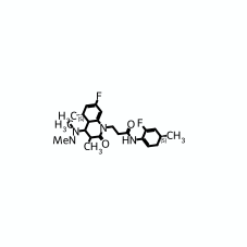 CNN(C)C1C(C)C(=O)N(CCC(=O)NC2=CC[C@H](C)C=C2F)C2=CC(F)=C[C@@H](C)C21